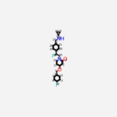 O=c1cc(OCc2ccc(F)cc2)ccn1CC(F)c1ccc(CNC2CC2)cc1